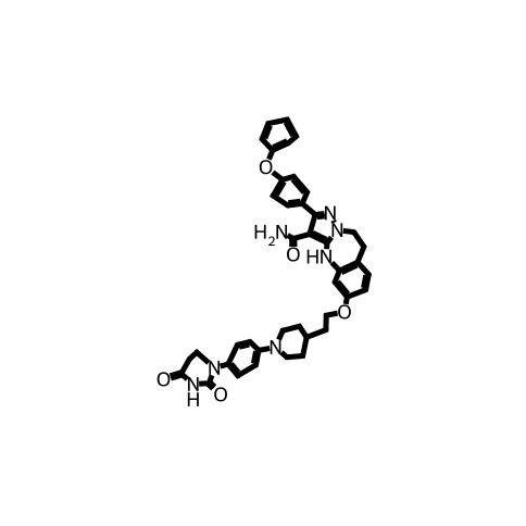 NC(=O)c1c(-c2ccc(Oc3ccccc3)cc2)nn2c1Nc1cc(OCCC3CCN(c4ccc(N5CCC(=O)NC5=O)cc4)CC3)ccc1CC2